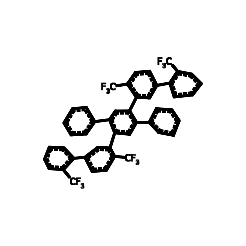 FC(F)(F)c1ccccc1-c1ccc(C(F)(F)F)c(-c2cc(-c3ccccc3)c(-c3cc(-c4ccccc4C(F)(F)F)ccc3C(F)(F)F)cc2-c2ccccc2)c1